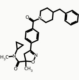 CN(C(=O)C1(C)CC(c2ccc(C(=O)N3CCC(Cc4ccccc4)CC3)cc2)=NO1)C1CC1